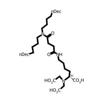 CCCCCCCCCCCCCCN(CCCCCCCCCCCCCC)C(=O)CCC(=O)NCCCC[C@H](C(=O)O)N(CC(=O)O)CC(=O)O